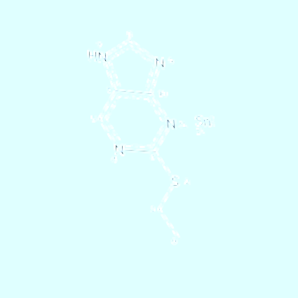 CCSc1ncc2[nH]cnc2n1.[Sn]